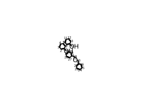 Oc1ccccc1.Oc1ccccc1.c1ccc(COCc2ccccc2)cc1